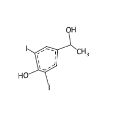 CC(O)c1cc(I)c(O)c(I)c1